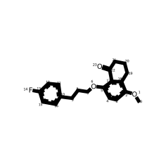 COc1ccc(OCCCc2ccc(F)cc2)c2c1CCCC2=O